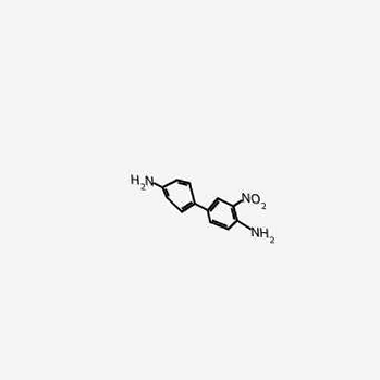 Nc1ccc(-c2ccc(N)c([N+](=O)[O-])c2)cc1